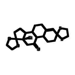 CC[C@]12CC(=O)C3C4CCC5(C=C4CCC3C1CCC21OCCO1)SCCS5